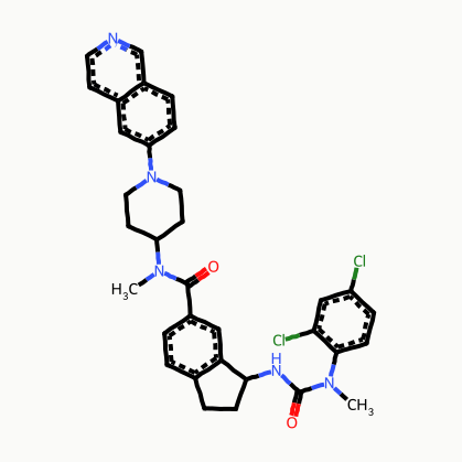 CN(C(=O)NC1CCc2ccc(C(=O)N(C)C3CCN(c4ccc5cnccc5c4)CC3)cc21)c1ccc(Cl)cc1Cl